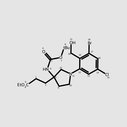 CCOC(=O)CCC1(NC(=O)OC(C)(C)C)CCN(c2cc(Cl)cc(Br)c2CO)C1